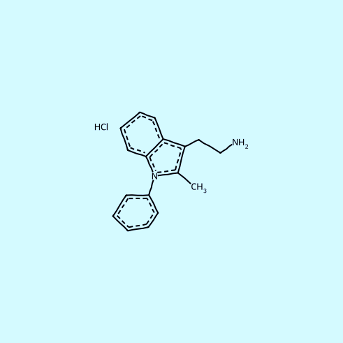 Cc1c(CCN)c2ccccc2n1-c1ccccc1.Cl